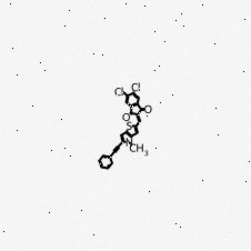 Cn1c(C#Cc2ccccc2)cc2sc(C=C3C(=O)c4cc(Cl)c(Cl)cc4C3=O)cc21